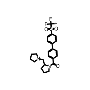 O=C(c1ccc(-c2ccc(S(=O)(=O)C(F)(F)F)cc2)cc1)N1CCCC1CN1CCCC1